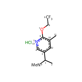 CNC(C)c1cnc(OCC(F)(F)F)c(C)c1.Cl